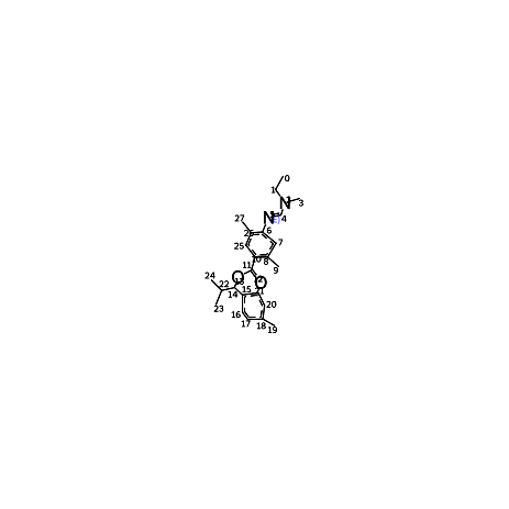 CCN(C)/C=N/c1cc(C)c(C(=O)OC(c2ccc(C)cc2)C(C)C)cc1C